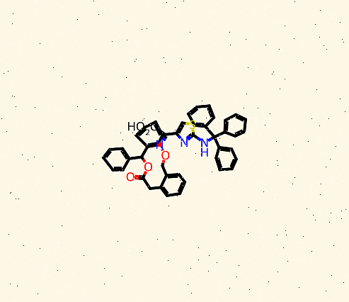 O=C(Cc1ccccc1CON=C(C(=O)O)c1csc(NC(c2ccccc2)(c2ccccc2)c2ccccc2)n1)OC(c1ccccc1)c1ccccc1